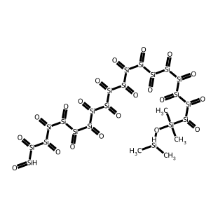 C[SiH](C)O[Si](C)(C)[Si](=O)[Si](=O)[Si](=O)[Si](=O)[Si](=O)[Si](=O)[Si](=O)[Si](=O)[Si](=O)[Si](=O)[Si](=O)[Si](=O)[Si](=O)[Si](=O)[Si](=O)[Si](=O)[Si](=O)[Si](=O)[SiH]=O